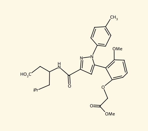 COC(=O)COc1cccc(OC)c1-c1cc(C(=O)NC(CC(=O)O)CC(C)C)nn1-c1ccc(C)cc1